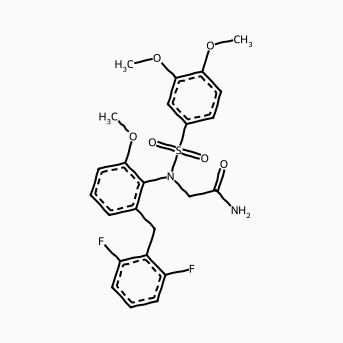 COc1ccc(S(=O)(=O)N(CC(N)=O)c2c(Cc3c(F)cccc3F)cccc2OC)cc1OC